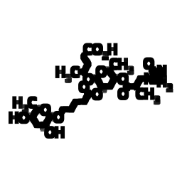 CC(CCC(=O)O)O[C@@H]1O[C@@H](C)[C@H](OC(=O)C(C)CNC(N)=O)C[C@H]1OC(=O)CCCCO[C@@H]1O[C@@H](C)[C@H](O)C[C@H]1O